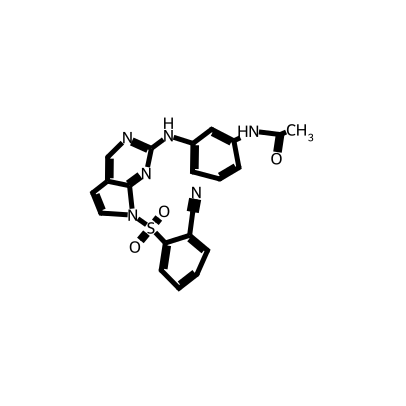 CC(=O)Nc1cccc(Nc2ncc3ccn(S(=O)(=O)c4ccccc4C#N)c3n2)c1